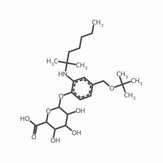 CCCCCC(C)(C)Nc1cc(COC(C)(C)C)ccc1OC1OC(C(=O)O)C(O)C(O)C1O